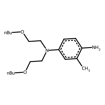 CCCCOCCN(CCOCCCC)c1ccc(N)c(C)c1